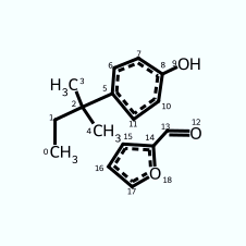 CCC(C)(C)c1ccc(O)cc1.O=Cc1ccco1